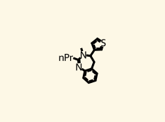 CCCC1=Nc2ccccc2CC(c2ccsc2)N1C